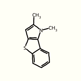 Cc1cc2sc3ccccc3c2n1C